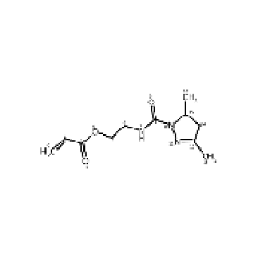 C=CC(=O)OCCNC(=O)N1N=C(C)CC1C